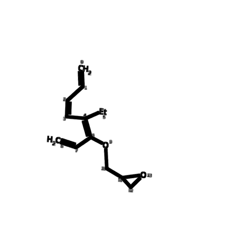 C=C/C=C\C(CC)=C(/C=C)OCC1CO1